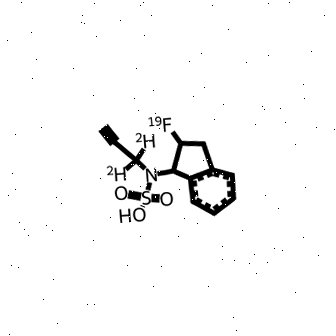 [2H]C([2H])(C#C)N(C1c2ccccc2CC1[19F])S(=O)(=O)O